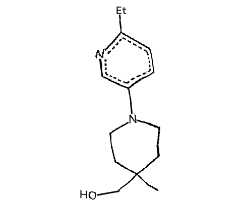 CCc1ccc(N2CCC(C)(CO)CC2)cn1